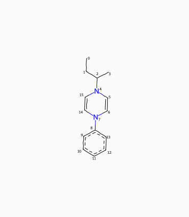 CCC(C)N1C=CN(c2ccccc2)C=C1